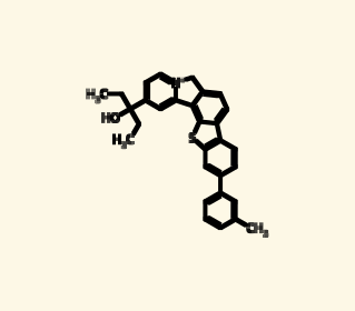 CCC(O)(CC)c1cc[n+]2c(c1)-c1c(ccc3c1sc1cc(-c4cccc(C)c4)ccc13)C2